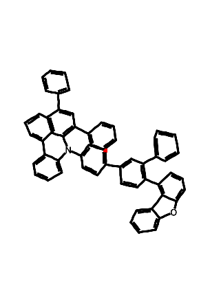 c1ccc(-c2ccc(N(c3ccc(-c4ccc(-c5cccc6oc7ccccc7c56)c(-c5ccccc5)c4)cc3)c3ccccc3-c3ccccc3)c(-c3ccccc3)c2)cc1